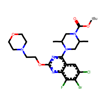 CC1CN(c2nc(OCCN3CCOCC3)nc3c(F)c(Br)c(Cl)cc23)C(C)CN1C(=O)OC(C)(C)C